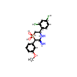 COc1cccc(C2C(=N)NC(c3ccc(F)cc3F)CS2(=O)=O)c1